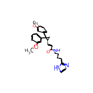 COc1cccc(C2(c3cccc(OC)c3)C[C@H]2/C=C/C(=O)NCCCCc2ncc[nH]2)c1